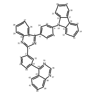 c1cc(-c2nc(-c3ccc(-n4c5ccccc5c5ccccc54)cc3)c3ccccc3n2)cc(-c2ncnc3ccccc23)c1